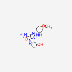 CO[C@H]1CCC[C@@H](Nc2ncc(C(N)=O)c(N[C@@H]3CCC[C@H](O)C3)n2)CC1